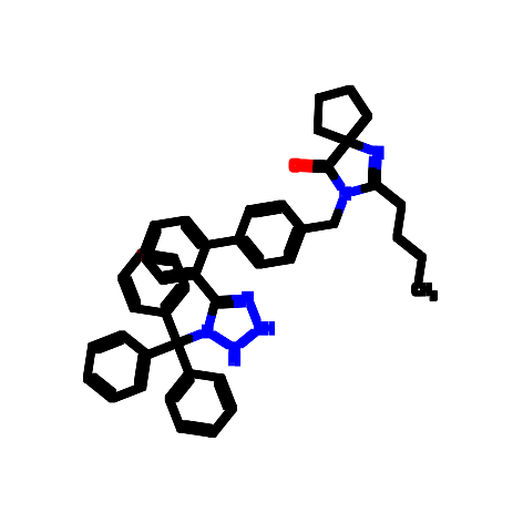 CCCCC1=NC2(CCCC2)C(=O)N1Cc1ccc(-c2ccccc2C2=NNNN2C(c2ccccc2)(c2ccccc2)c2ccccc2)cc1